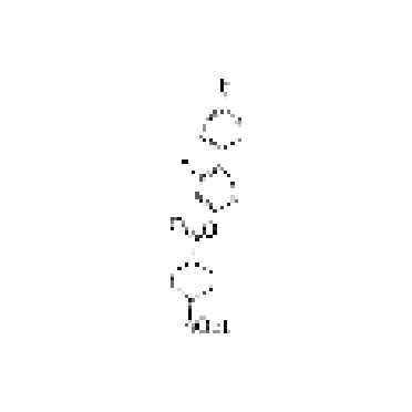 CCCCCCCC[C@H]1CC[C@H](C(=O)Oc2ccc(-c3ccc(F)cc3)c(F)c2)CC1